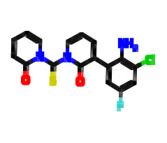 Nc1c(Cl)cc(F)cc1-c1cccn(C(=S)n2ccccc2=O)c1=O